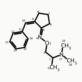 CC(CON=C1CCCC1=Cc1ccccc1)N(C)C